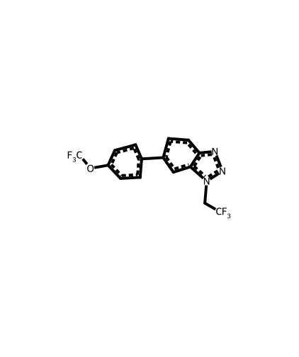 FC(F)(F)Cn1nnc2ccc(-c3ccc(OC(F)(F)F)cc3)cc21